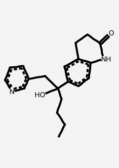 CCCCC(O)(Cc1cccnc1)c1ccc2c(c1)CCC(=O)N2